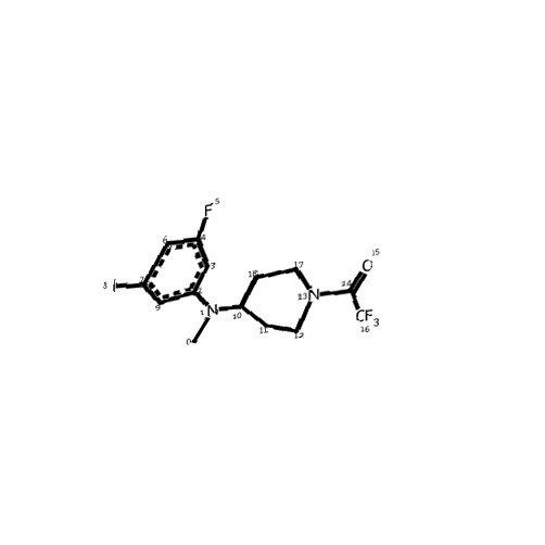 CN(c1cc(F)cc(I)c1)C1CCN(C(=O)C(F)(F)F)CC1